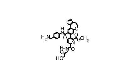 COC(=O)c1nc(C(=O)NC[C@@H](O)CO)ccc1-c1cc2c(cc1C(=O)Nc1ccc(CN)cc1)-c1sccc1CCO2